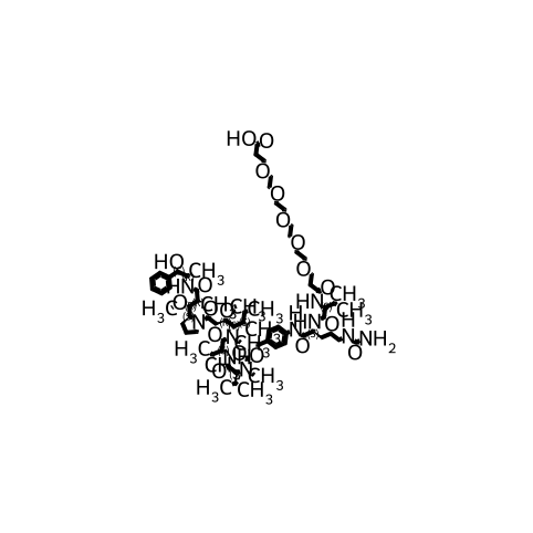 CC[C@H](C)[C@@H]([C@@H](CC(=O)N1CCC[C@H]1[C@H](OC)[C@@H](C)C(=O)N[C@H](C)[C@@H](O)c1ccccc1)OC)N(C)C(=O)[C@@H](NC(=O)[C@H](C(C)C)N(C)C(=O)OCc1ccc(NC(=O)[C@H](CCCNC(N)=O)NC(=O)[C@@H](NC(=O)CCOCCOCCOCCOCCOCCC(=O)O)C(C)C)cc1)C(C)C